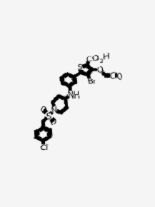 O=C=COc1c(C(=O)O)sc(-c2cccc(NC3CCN(S(=O)(=O)Cc4ccc(Cl)cc4)CC3)c2)c1Br